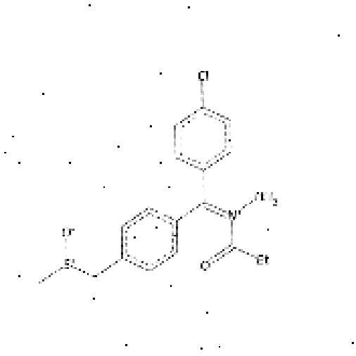 CCC(=O)[N+](N)=C(c1ccc(Cl)cc1)c1ccc(C[S+](C)[O-])cc1